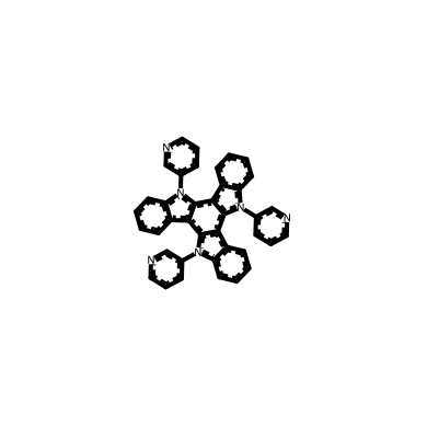 c1cncc(-n2c3ccccc3c3c2c2c4ccccc4n(-c4cccnc4)c2c2c4ccccc4n(-c4cccnc4)c32)c1